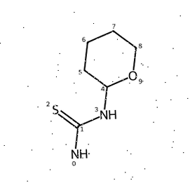 [NH]C(=S)NC1CCCCO1